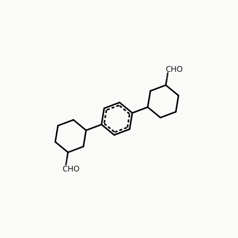 O=CC1CCCC(c2ccc(C3CCCC(C=O)C3)cc2)C1